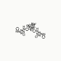 Cc1ccccc1Nc1nc(Cl)nc(Nc2ccc(C=Cc3ccc(Nc4nc(Cl)nc(Nc5ccccc5C)n4)cc3S(=O)(=O)[O-])c(S(=O)(=O)[O-])c2)n1.[Na+].[Na+]